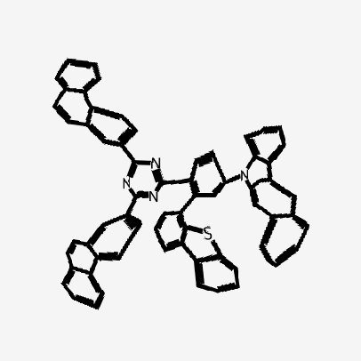 c1ccc2cc3c(cc2c1)c1ccccc1n3-c1ccc(-c2nc(-c3ccc4c(ccc5ccccc54)c3)nc(-c3ccc4c(ccc5ccccc54)c3)n2)c(-c2cccc3c2sc2ccccc23)c1